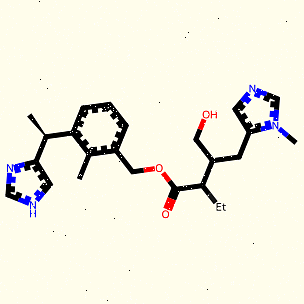 CCC(C(=O)OCc1cccc([C@H](C)c2c[nH]cn2)c1C)C(CO)Cc1cncn1C